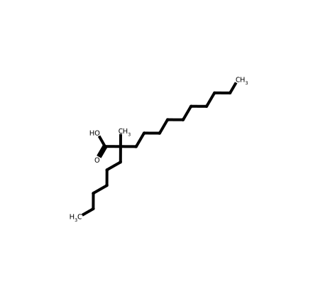 CCCCCCCCCCC(C)(CCCCCC)C(=O)O